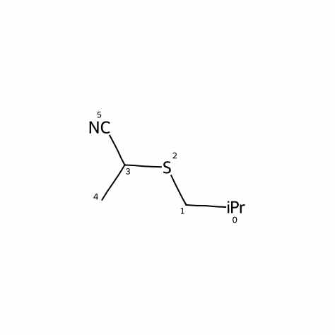 CC(C)CSC(C)C#N